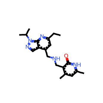 CCc1cc(CNCc2c(C)cc(C)[nH]c2=O)c2cnn(C(C)C)c2n1